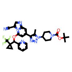 Cc1c(-c2cc(OC(c3ccccn3)C3(C(F)(F)F)CC3)n3c(C#N)cnc3c2)nnn1C1CCN(C(=O)OC(C)(C)C)CC1